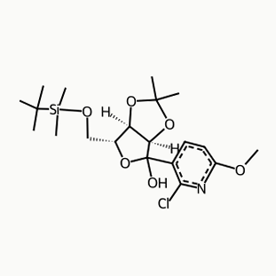 COc1ccc(C2(O)O[C@H](CO[Si](C)(C)C(C)(C)C)[C@H]3OC(C)(C)O[C@H]32)c(Cl)n1